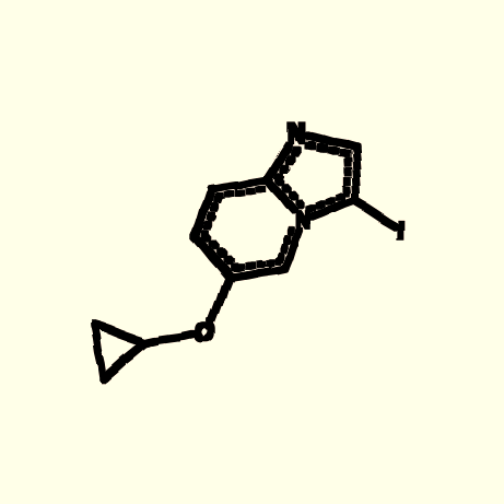 Ic1cnc2ccc(OC3CC3)cn12